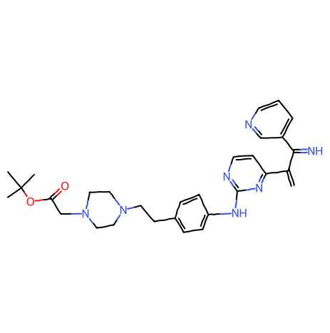 C=C(C(=N)c1cccnc1)c1ccnc(Nc2ccc(CCN3CCN(CC(=O)OC(C)(C)C)CC3)cc2)n1